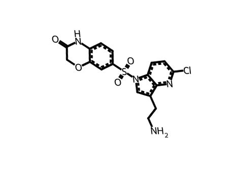 NCCc1cn(S(=O)(=O)c2ccc3c(c2)OCC(=O)N3)c2ccc(Cl)nc12